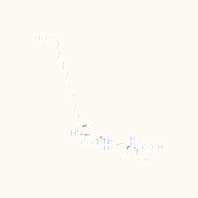 O=C(O)CCCCCCCCCCCCCCCCC(=O)N[C@@H](CCC(=O)NCCCC(=O)N[C@@H](CO)C(=O)O)C(=O)O